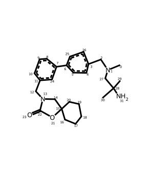 CN(Cc1ccc(-c2cccc(CN3CC4(CCCCC4)OC3=O)c2)cc1)CC(C)(C)N